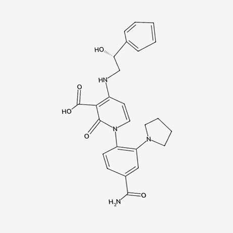 NC(=O)c1ccc(-n2ccc(NC[C@H](O)c3ccccc3)c(C(=O)O)c2=O)c(N2CCCC2)c1